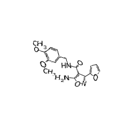 COc1ccc(CNC(=O)c2c(-c3ccco3)noc2N)cc1OC